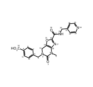 CN1C(=O)N(Cc2ccc(C(=O)O)cc2)Cc2oc(C(=O)NCc3ccncc3)nc21